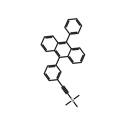 C[Si](C)(C)C#Cc1cccc(-c2c3ccccc3c(-c3ccccc3)c3ccccc23)c1